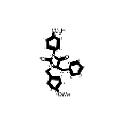 COc1ccc(CN2C(=O)N(c3ccc(C(=O)O)cc3)C(=O)C2Cc2ccccc2)cc1